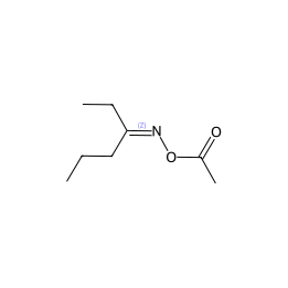 CCC/C(CC)=N\OC(C)=O